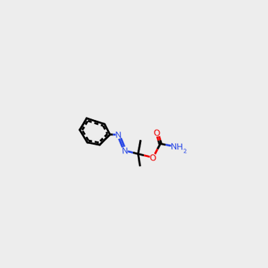 CC(C)(N=Nc1ccccc1)OC(N)=O